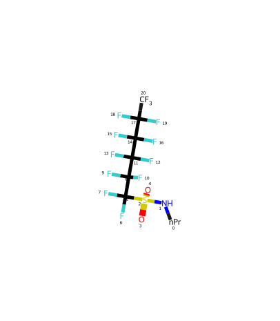 CCCNS(=O)(=O)C(F)(F)C(F)(F)C(F)(F)C(F)(F)C(F)(F)C(F)(F)F